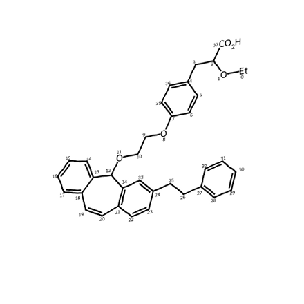 CCOC(Cc1ccc(OCCOC2c3ccccc3C=Cc3ccc(CCc4ccccc4)cc32)cc1)C(=O)O